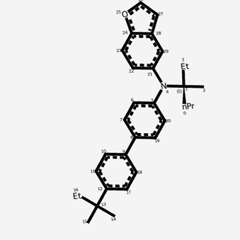 CCC[C@](C)(CC)N(c1ccc(-c2ccc(C(C)(C)CC)cc2)cc1)c1ccc2occc2c1